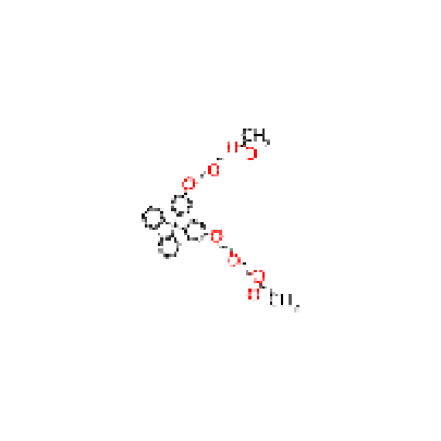 C=CC(=O)OCCOCCOc1ccc(C2(c3ccc(OCCOCCOC(C)=O)cc3)c3ccccc3-c3ccccc32)cc1